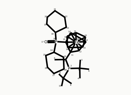 CC(P(C(C)(C)C)C(C)(C)C)[C]12[CH]3[CH]4[CH]5[C]1(P(=O)(C1CCCCC1)C1CCCCC1)[Fe]43521678[CH]2[CH]1[CH]6[CH]7[CH]28